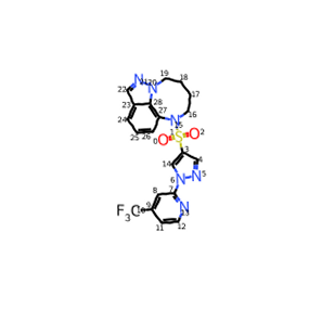 O=S(=O)(c1cnn(-c2cc(C(F)(F)F)ccn2)c1)N1CCCCn2ncc3cccc1c32